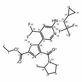 CCOC(=O)c1nc(C(=O)N2CCCC2C)c(-c2cnc(N[C@H](C3CC3)C(F)(F)F)cc2C(F)F)s1